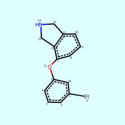 CCc1cccc(Oc2cccc3c2CNC3)c1